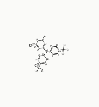 CC1C=C(N(c2ccc(C(C)(C)C)cc2)C2C=CC(C(C)(C)C)=CC2)C=C(Cl)C1